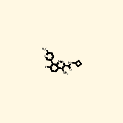 Cc1ccc(-c2c(F)ccc3c(N)c(C(=O)NC4CCC4)nnc23)cn1